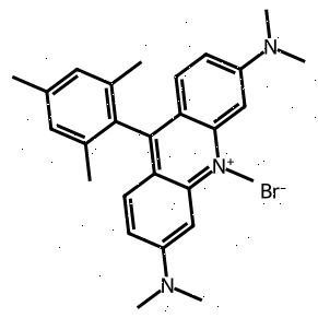 Cc1cc(C)c(-c2c3ccc(N(C)C)cc3[n+](C)c3cc(N(C)C)ccc23)c(C)c1.[Br-]